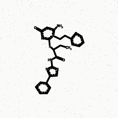 CCC(Sc1nc(=O)cc(N)n1CCc1ccccc1)C(=O)Nc1nc(-c2ccccc2)cs1